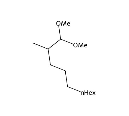 CCCCCCCCCC(C)C(OC)OC